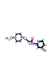 CN1CCN(CCC(=O)Nc2cc(Br)ccn2)CC1